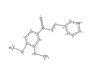 COc1ccc(C(=O)/C=C/c2cccnc2)cc1OC